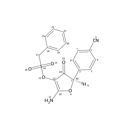 [2H][C@]1(c2ccc(C#N)cc2)OC(N)=C(OS(=O)(=O)Cc2ccccc2)C1=O